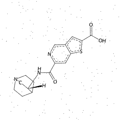 O=C(N[C@H]1CN2CCC1CC2)c1cc2sc(C(=O)O)cc2cn1